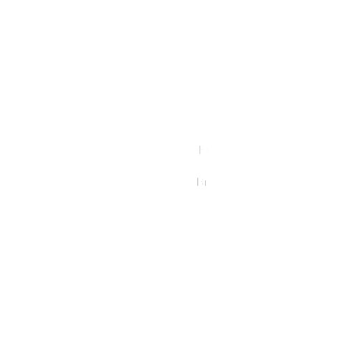 CCC(Br)CC1CCCCC1